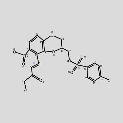 CCC(=O)/C=C/c1c([N+](=O)[O-])ccc2c1OC(COS(=O)(=O)c1ccc(C)cc1)CO2